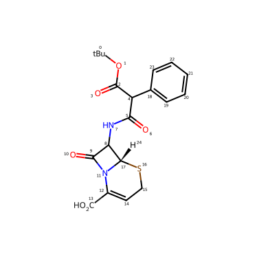 CC(C)(C)OC(=O)C(C(=O)NC1C(=O)N2C(C(=O)O)=CCS[C@@H]12)c1ccccc1